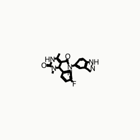 CC1=C(C(=O)Nc2ccc3[nH]ncc3c2)C(c2ccc(F)cc2)N(C)C(=O)N1